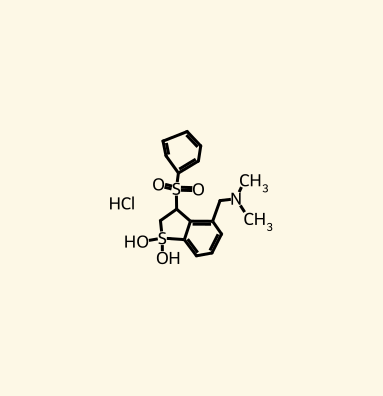 CN(C)Cc1cccc2c1C(S(=O)(=O)c1ccccc1)CS2(O)O.Cl